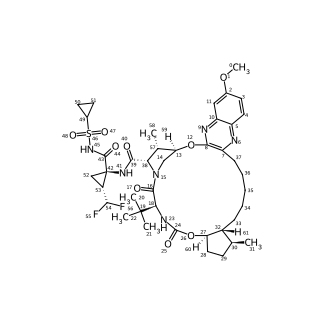 COc1ccc2nc3c(nc2c1)O[C@H]1CN(C(=O)[C@H](C(C)(C)C)NC(=O)O[C@@H]2CC[C@H](C)[C@H]2CCCCC3)[C@H](C(=O)N[C@]2(C(=O)NS(=O)(=O)C3CC3)C[C@H]2C(F)F)[C@@H]1C